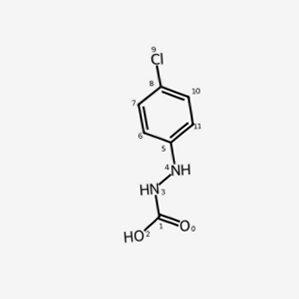 O=C(O)NNc1ccc(Cl)cc1